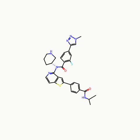 CC(C)NC(=O)c1ccc(-c2cc3c(N(C(=O)c4ccc(-c5cn(C)nn5)cc4F)[C@@H]4CCCNC4)nccc3s2)cc1